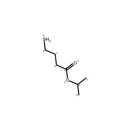 CC(C)OC(=O)CCC[SiH3]